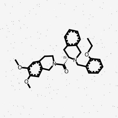 CCOc1ccccc1CN1Cc2ccccc2C[C@H]1C(=O)N1CCc2cc(OC)c(OC)cc2C1